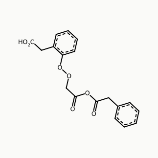 O=C(O)Cc1ccccc1OOCC(=O)OC(=O)Cc1ccccc1